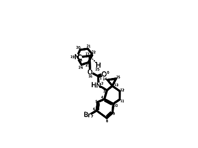 O=C(NC1c2cc(Br)ccc2CCC12CC2)O[C@H]1CN2CCC1CC2